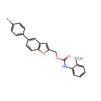 O=C(Nc1ccccc1C(=O)O)OCc1cc2cc(-c3ccc(F)cc3)ccc2o1